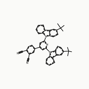 CC(C)(C)c1ccc2c(c1)c1ccccc1n2-c1cc(-c2ccc(C#N)c(C#N)c2)cc(-n2c3ccccc3c3cc(C(C)(C)C)ccc32)n1